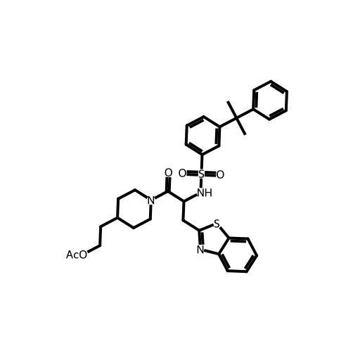 CC(=O)OCCC1CCN(C(=O)C(Cc2nc3ccccc3s2)NS(=O)(=O)c2cccc(C(C)(C)c3ccccc3)c2)CC1